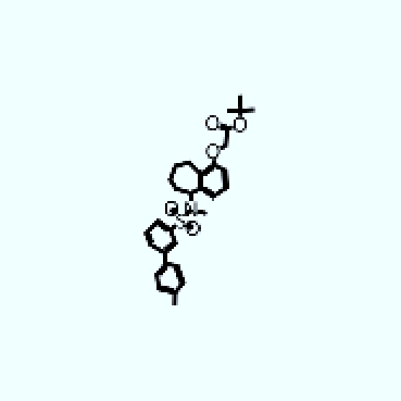 Cc1ccc(-c2cccc(S(=O)(=O)N(C)C3CCCCc4c(OCC(=O)OC(C)(C)C)cccc43)c2)cc1